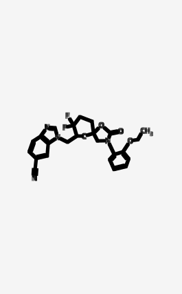 CCOc1ccccc1N1CC2(CCC(F)(F)C(Cn3cnc4ccc(C#N)cc43)C2)OC1=O